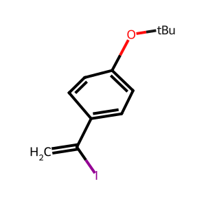 C=C(I)c1ccc(OC(C)(C)C)cc1